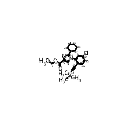 CCOC(=O)c1cn(-c2cc(Cl)ccc2C#C[Si](C)(C)C)c(C2CCCCC2)n1